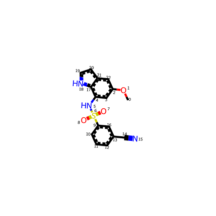 COc1cc(NS(=O)(=O)c2cccc(C#N)c2)c2[nH]ccc2c1